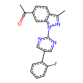 CC(=O)c1ccc2c(C)nn(-c3ncc(-c4ccccc4F)cn3)c2c1